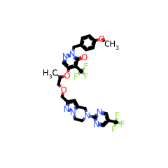 COc1ccc(Cn2ncc(O[C@@H](C)COCc3cc4n(n3)CCN(c3ncc(C(F)(F)F)cn3)C4)c(C(F)(F)F)c2=O)cc1